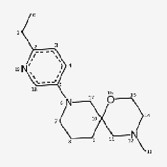 CCc1ccc(N2CCCC3(CN(C)CCO3)C2)cn1